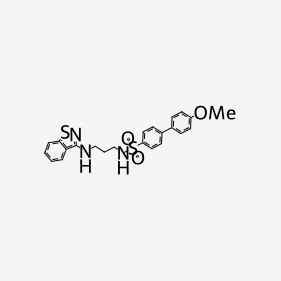 COc1ccc(-c2ccc(S(=O)(=O)NCCCNc3nsc4ccccc34)cc2)cc1